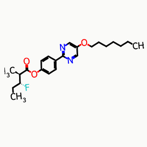 CCCCCCCOc1cnc(-c2ccc(OC(=O)[C@H](C)[C@H](F)CC)cc2)nc1